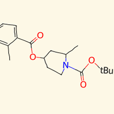 Cc1ccccc1C(=O)OC1CCN(C(=O)OC(C)(C)C)C(C)C1